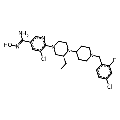 CC[C@H]1CN(c2ncc(C(N)=NO)cc2Cl)CCN1C1CCN(Cc2ccc(Cl)cc2F)CC1